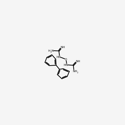 N=C(N)NONC(=N)N.c1ccc(-c2ccccc2)cc1